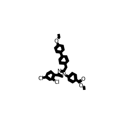 CCOC(=O)c1ccc(-n2cc(-c3ccc(Cl)cc3Cl)nc2Cc2ccc(-c3ccc(OCC)cc3)cc2)cc1